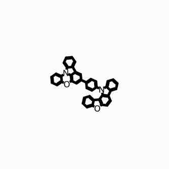 c1ccc2c(c1)Oc1cc(-c3ccc(-n4c5ccccc5c5ccc6oc7ccccc7c6c54)cc3)cc3c4ccccc4n-2c13